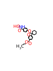 CCCOC(=O)c1ccc(C2(C(=O)Oc3ccc(C(=O)NO)cc3)CCCCC2)cc1